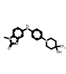 Cn1c(=O)oc2cc(Nc3ccc(N4CCC(O)(C(F)(F)F)CC4)cc3)ccc21